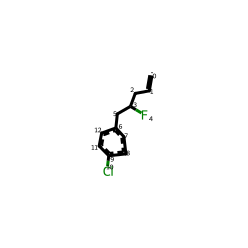 [CH]=CCC(F)Cc1ccc(Cl)cc1